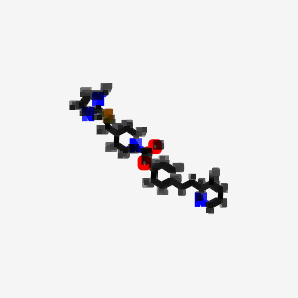 Cc1cccnc1CCc1ccc(OC(=O)N2CCC(CSc3nccn3C)CC2)cc1